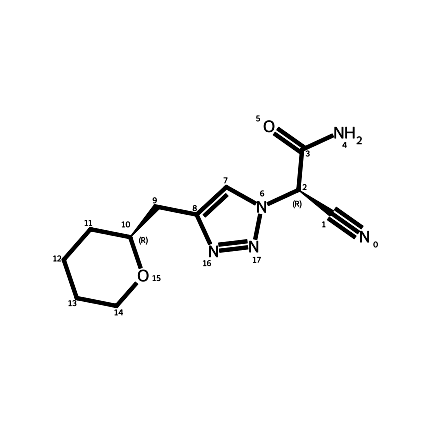 N#C[C@H](C(N)=O)n1cc([CH][C@@H]2CCCCO2)nn1